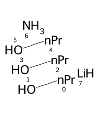 CCCO.CCCO.CCCO.N.[LiH]